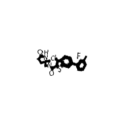 Cc1cccc(-c2ccc3c(Cl)c(C(=O)N4CC5(CCC(=O)N5)C4)sc3c2)c1F